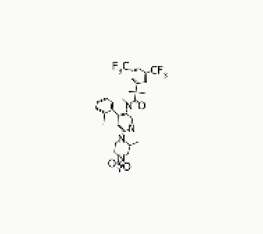 Cc1ccccc1-c1cc(N2CCN(S(C)(=O)=O)CC2C)ncc1N(C)C(=O)C(C)(C)c1cc(C(F)(F)F)cc(C(F)(F)F)c1